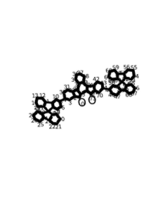 O=c1c2cc(-c3ccc4c(c3)-c3ccccc3C43c4ccccc4-c4ccccc43)ccc2c2c3ccccc3c3c4ccc(-c5ccc6c(c5)C5(c7ccccc7-c7ccccc75)c5ccccc5-6)cc4c(=O)c3c12